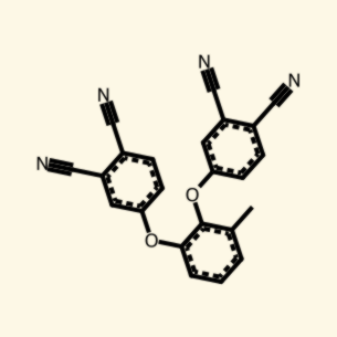 Cc1cccc(Oc2ccc(C#N)c(C#N)c2)c1Oc1ccc(C#N)c(C#N)c1